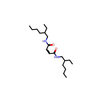 CCCCC(CC)CNC(=O)/C=C\C(=O)NCC(CC)CCCC